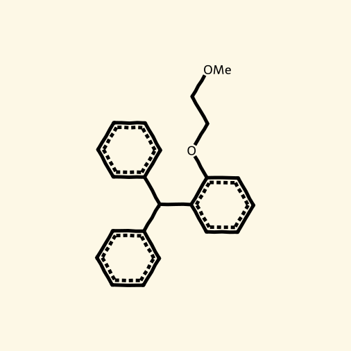 COCCOc1ccccc1[C](c1ccccc1)c1ccccc1